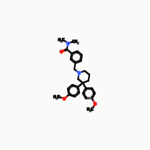 COc1ccc(C2(c3ccc(OC)cc3)CCCN(Cc3cccc(C(=O)N(C)C)c3)C2)cc1